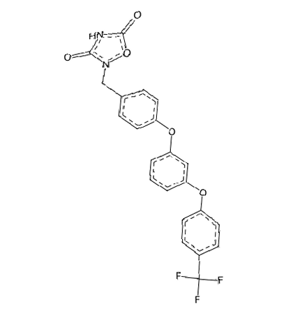 O=c1[nH]c(=O)n(Cc2ccc(Oc3cccc(Oc4ccc(C(F)(F)F)cc4)c3)cc2)o1